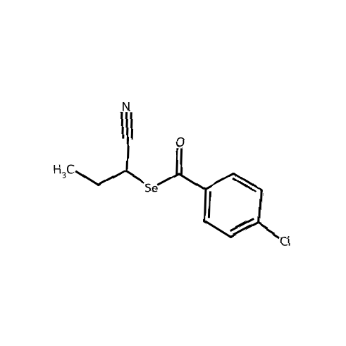 CCC(C#N)[Se]C(=O)c1ccc(Cl)cc1